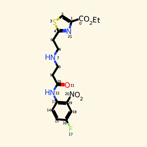 CCOC(=O)c1csc(CCNCCC(=O)Nc2ccc(F)cc2[N+](=O)[O-])n1